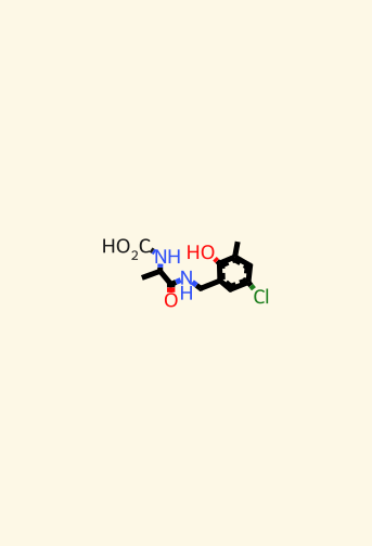 Cc1cc(Cl)cc(CNC(=O)C(C)NC(=O)O)c1O